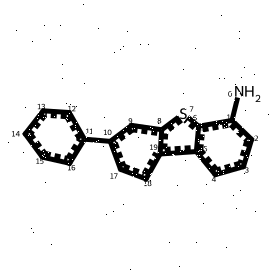 Nc1cccc2c1sc1cc(-c3ccccc3)ccc12